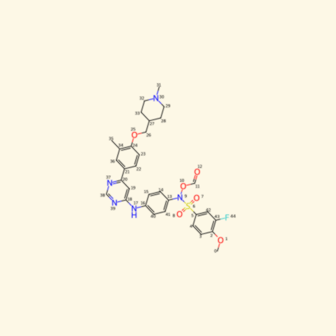 COc1ccc(S(=O)(=O)N(OC=O)c2ccc(Nc3cc(-c4ccc(OCC5CCN(C)CC5)c(C)c4)ncn3)cc2)cc1F